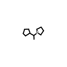 CC(C1CCCC1)N1CCCC1